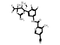 Cc1cc(C#N)cnc1C(=O)Nc1cc(F)c(F)c([C@@]2(CF)N=C(N)S[C@](C)(C(F)F)[C@H]2C)c1